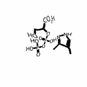 Cc1c[nH]nc1C.O=C(O)C(CO)OP(=O)(O)OP(=O)(O)O